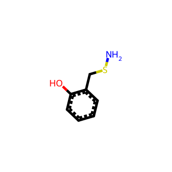 NSCc1ccccc1O